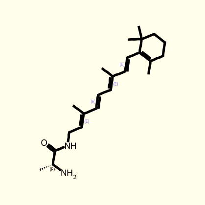 CC1=C(/C=C/C(C)=C/C=C/C(C)=C/CNC(=O)[C@@H](C)N)C(C)(C)CCC1